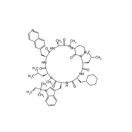 C=CC(C)(C)n1cc(C[C@@H]2NC(=O)[C@H](CC3CCCCC3)NC(=O)[C@H](CC(C)C)N3CCC[C@@H](C3=O)N(C)C(=O)[C@H](C)NC(=O)[C@H](Cc3ccc4cnccc4c3)NC(=O)[C@H](CC(C)C)N(C)C2=O)c2ccccc21